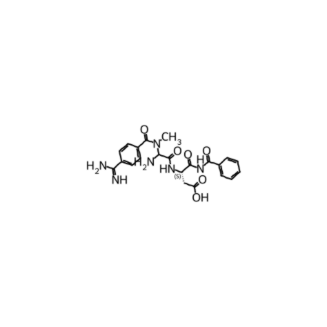 CN(C(=O)c1ccc(C(=N)N)cc1)C(N)C(=O)N[C@@H](CC(=O)O)C(=O)NC(=O)c1ccccc1